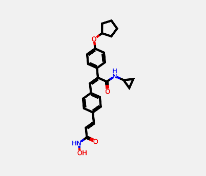 O=C(C=Cc1ccc(C=C(C(=O)NC2CC2)c2ccc(OC3CCCC3)cc2)cc1)NO